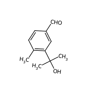 Cc1ccc(C=O)cc1C(C)(C)O